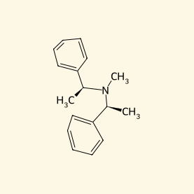 C[C@@H](c1ccccc1)N(C)[C@@H](C)c1ccccc1